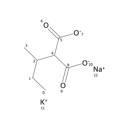 CCC(C)C(C(=O)[O-])C(=O)[O-].[K+].[Na+]